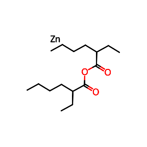 CCCCC(CC)C(=O)OC(=O)C(CC)CCCC.[Zn]